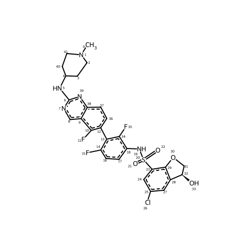 CN1CCC(Nc2ncc3c(F)c(-c4c(F)ccc(NS(=O)(=O)c5cc(Cl)cc6c5OC[C@H]6O)c4F)ccc3n2)CC1